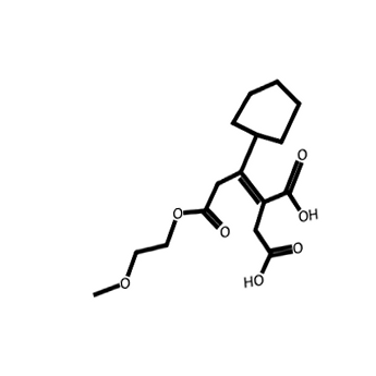 COCCOC(=O)CC(=C(CC(=O)O)C(=O)O)C1CCCCC1